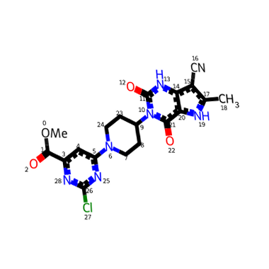 COC(=O)c1cc(N2CCC(n3c(=O)[nH]c4c(C#N)c(C)[nH]c4c3=O)CC2)nc(Cl)n1